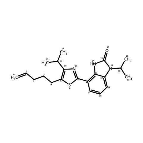 C=CCCCc1sc(-c2cccc3c2[nH]c(=O)n3C(C)C)nc1C(C)C